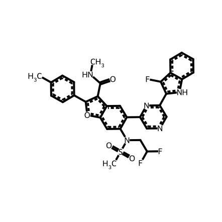 CNC(=O)c1c(-c2ccc(C)cc2)oc2cc(N(CC(F)F)S(C)(=O)=O)c(-c3cncc(-c4[nH]c5ccccc5c4F)n3)cc12